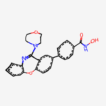 O=C(NO)c1ccc(-c2ccc3c(c2)C(N2CCOCC2)=Nc2ccccc2O3)cc1